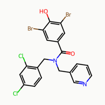 O=C(c1cc(Br)c(O)c(Br)c1)N(Cc1cccnc1)Cc1ccc(Cl)cc1Cl